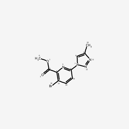 COC(=O)c1nc(-n2cc(C)nn2)ccc1Br